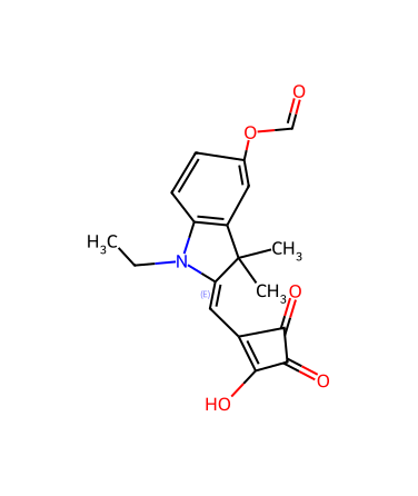 CCN1/C(=C/c2c(O)c(=O)c2=O)C(C)(C)c2cc(OC=O)ccc21